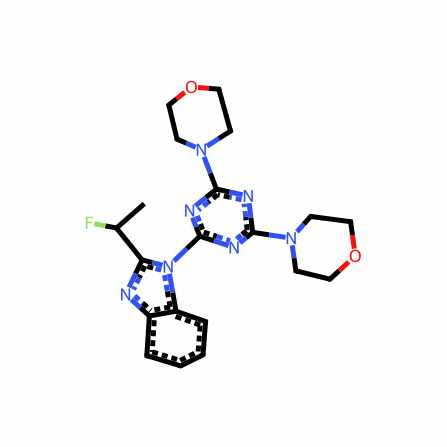 CC(F)c1nc2ccccc2n1-c1nc(N2CCOCC2)nc(N2CCOCC2)n1